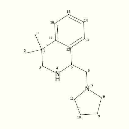 CC1(C)CNC(CN2CCCC2)c2ccccc21